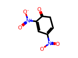 O=C1CC=C([N+](=O)[O-])C=C1[N+](=O)[O-]